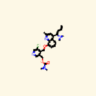 C=C/C=C(/c1cc(C)nc2c(OCc3c(Cl)cncc3COC(=O)N(C)C)cccc12)N(C)C